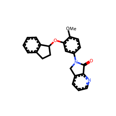 COc1ccc(N2Cc3cccnc3C2=O)cc1OC1CCc2ccccc21